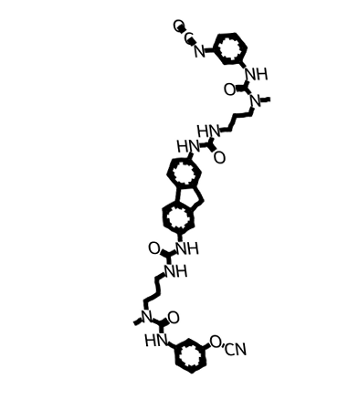 CN(CCCNC(=O)Nc1ccc2c(c1)Cc1cc(NC(=O)NCCCN(C)C(=O)Nc3cccc(OC#N)c3)ccc1-2)C(=O)Nc1cccc(N=C=O)c1